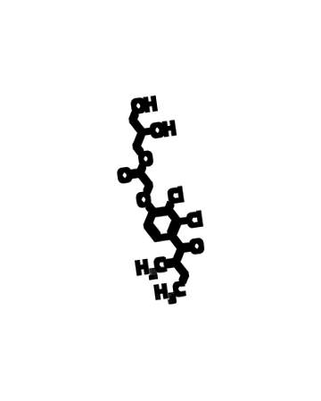 C=C(CC)C(=O)c1ccc(OCC(=O)OCC(O)CO)c(Cl)c1Cl